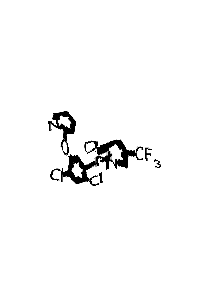 O=c1cc(C(F)(F)F)cnn1-c1cc(Oc2ccccn2)c(Cl)cc1Cl